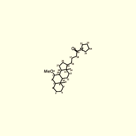 COC1CC2CCCCC2(C)C2CCC3(C)C(CCCC(=O)N4CCCC4)CCC3C12